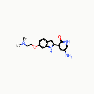 CCN(CC)CCOc1ccc2cc(-c3cc(N)c[nH]c3=O)[nH]c2c1